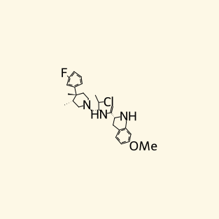 C=C(N[C@H](CN1CC[C@@](C)(c2cccc(F)c2)[C@@H](C)C1)C(C)Cl)[C@H]1Cc2ccc(OC)cc2CN1